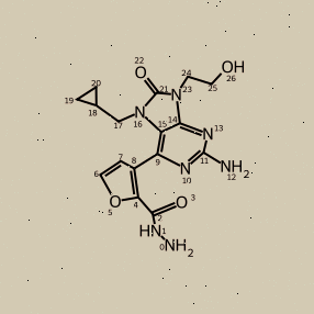 NNC(=O)c1occc1-c1nc(N)nc2c1n(CC1CC1)c(=O)n2CCO